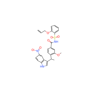 C=CCOc1ccccc1S(=O)(=O)NC(=O)c1ccc(C(C)c2c[nH]c3ccc([N+](=O)[O-])cc23)c(OC)c1